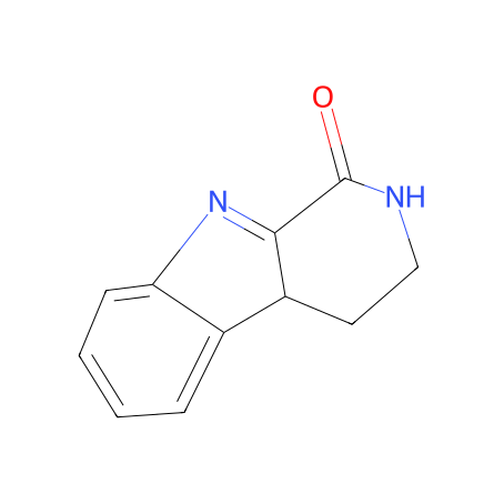 O=C1NCCC2C1=Nc1ccccc12